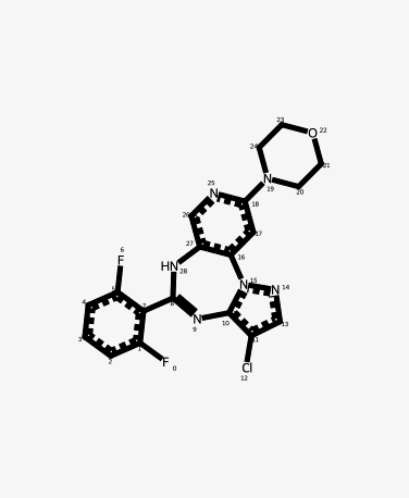 Fc1cccc(F)c1C1=Nc2c(Cl)cnn2-c2cc(N3CCOCC3)ncc2N1